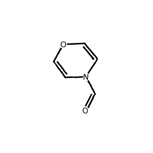 O=CN1C=COC=C1